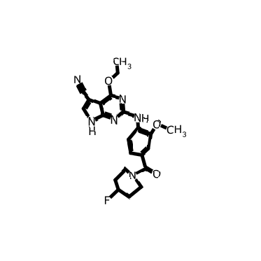 CCOc1nc(Nc2ccc(C(=O)N3CCC(F)CC3)cc2OC)nc2[nH]cc(C#N)c12